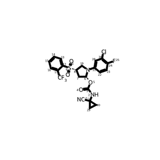 N#CC1(NC(=O)O[C@@H]2C[C@H](S(=O)(=O)c3ccccc3C(F)(F)F)CN2c2ccc(F)c(Cl)c2)CC1